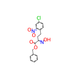 O=C(OCc1ccccc1)C(CCc1ccc(Cl)cc1[N+](=O)[O-])=NO